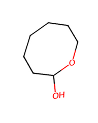 OC1CCCCCCO1